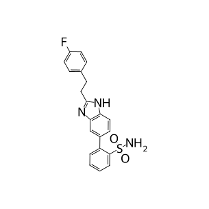 NS(=O)(=O)c1ccccc1-c1ccc2[nH]c(CCc3ccc(F)cc3)nc2c1